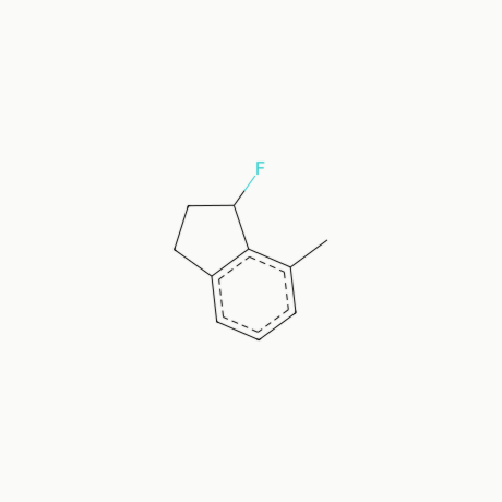 Cc1cccc2c1C(F)CC2